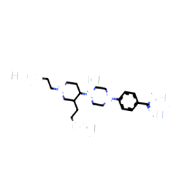 Cl.N=C(N)c1ccc(N2CCN(C3CCN(CCC(=O)O)CC3CCC(=O)O)CC2)cc1